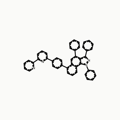 c1ccc(-c2cc3c(-c4ccc(-c5cccc(-c6ccccn6)n5)cc4)cccc3c3c2c(-c2ccccc2)nn3-c2ccccc2)cc1